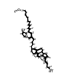 CCCCCCCC/C=C\CCCCCCCCCCC(CCCCC1CC[C@@]2(C)C(=CCC3C4CCC(CCCCC(C)C)[C@@]4(C)CCC32)C1)CN1CCC(CC)C1